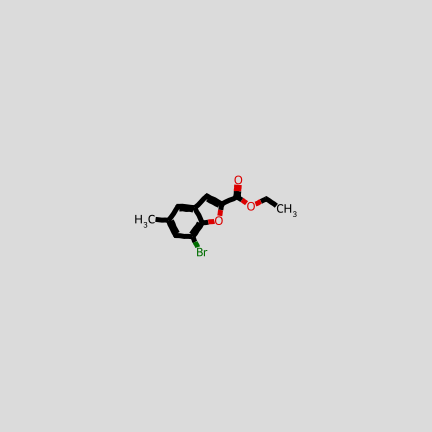 CCOC(=O)c1cc2cc(C)cc(Br)c2o1